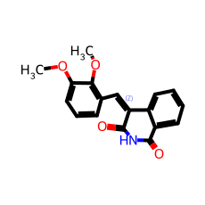 COc1cccc(/C=C2\C(=O)NC(=O)c3ccccc32)c1OC